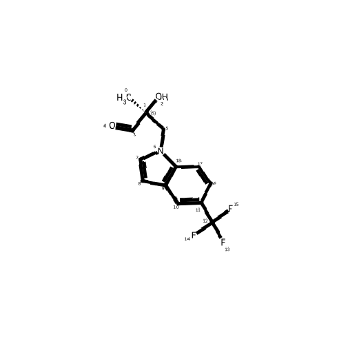 C[C@@](O)(C=O)Cn1ccc2cc(C(F)(F)F)ccc21